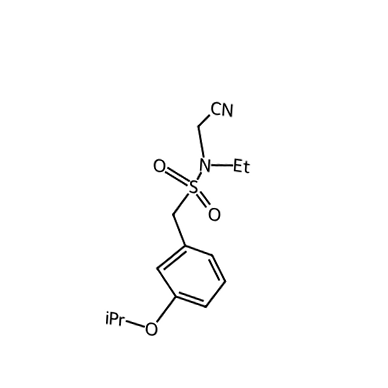 CCN(CC#N)S(=O)(=O)Cc1cccc(OC(C)C)c1